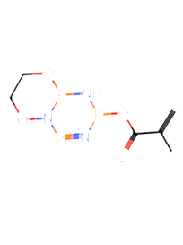 C=C(C)C(=O)Op1npn2p([nH]1)OCCO2